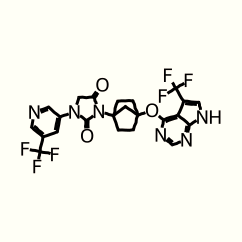 O=C1CN(c2cncc(C(F)(F)F)c2)C(=O)N1C12CCC(Oc3ncnc4[nH]cc(C(F)(F)F)c34)(CC1)C2